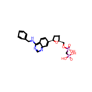 O=P(O)(O)CP(=O)(O)OC[C@@H]1CC[C@H](c2ccc3c(NCc4ccccc4)ncnc3c2)O1